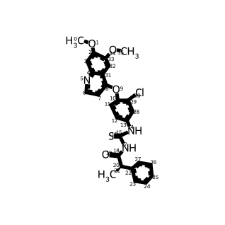 COc1cc2nccc(Oc3ccc(NC(=S)NC(=O)[C@H](C)c4ccccc4)cc3Cl)c2cc1OC